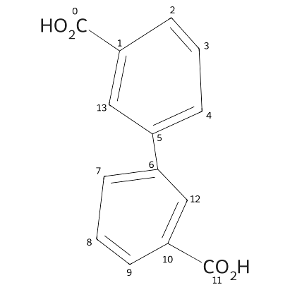 O=C(O)c1cccc(-c2cccc(C(=O)O)c2)c1